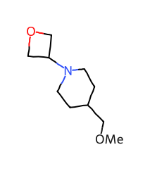 COCC1CCN(C2COC2)CC1